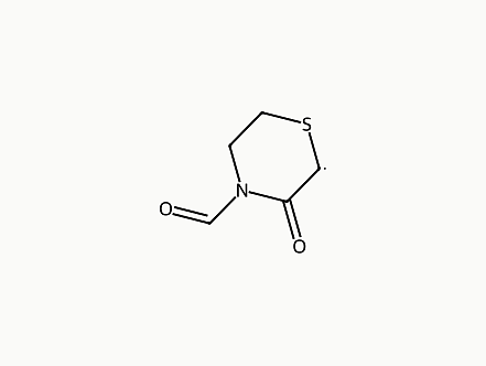 O=CN1CCS[CH]C1=O